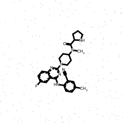 Cc1ccc(Nc2nc(N3CCC(N(C)C(=O)C4CCCN4)CC3)nc3ccc(F)cc23)c(C#N)c1